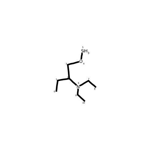 CCC(CO[SiH3])N(CC)CC